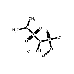 CCOP([O-])(=S)N(C)S(=O)(=O)N(C)C.[K+]